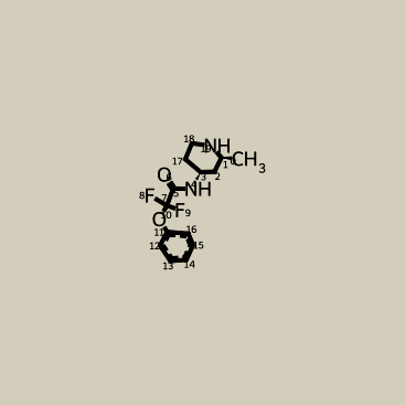 C[C@H]1C[C@H](NC(=O)C(F)(F)Oc2ccccc2)CCN1